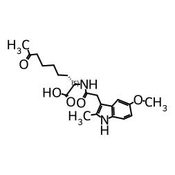 COc1ccc2[nH]c(C)c(CC(=O)N[C@@H](CCCCCC(C)=O)C(=O)O)c2c1